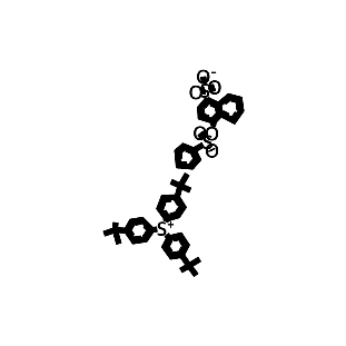 CC(C)(C)c1ccc([S+](c2ccc(C(C)(C)C)cc2)c2ccc(C(C)(C)C)cc2)cc1.O=S(=O)([O-])c1ccc(OS(=O)(=O)c2ccccc2)c2ccccc12